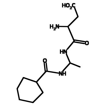 CC(NC(=O)C(N)CC(=O)O)NC(=O)C1CCCCC1